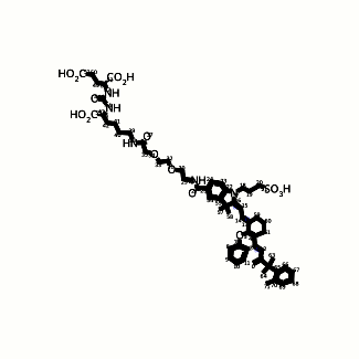 C=C(/C=C/C1=C(Oc2ccccc2)C(=C/C=C2/N(CCCS(=O)(=O)O)c3ccc(C(=O)NCCOCCOCC(=O)NCCCC[C@H](NC(=O)N[C@@H](CCC(=O)O)C(=O)O)C(=O)O)cc3C2(C)C)/CCC1)C(C)(C)c1ccccc1C